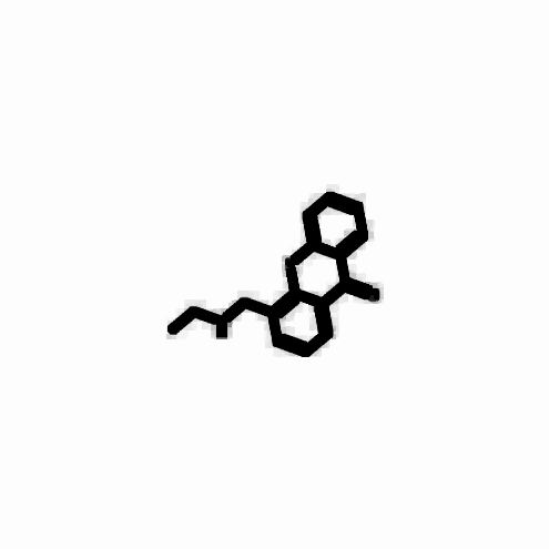 CCNCc1cccc2c(=O)c3ccccc3sc12